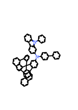 c1ccc(-c2ccc(N(c3ccc4c(c3)C3(c5ccccc5-4)c4ccccc4-c4cccc5ccc(-c6cccc7ccccc67)c3c45)c3ccc4c5ccccc5n(-c5ccccc5)c4c3)cc2)cc1